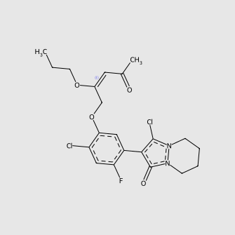 CCCO/C(=C/C(C)=O)COc1cc(-c2c(Cl)n3n(c2=O)CCCC3)c(F)cc1Cl